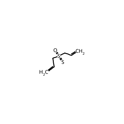 C=CCS(=O)(=S)CC=C